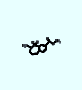 COC(=O)c1ccc2c(c1)S(=O)(=O)N(C)CC=C2